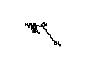 CCCCCCCCCCCc1nccn1CCc1nc(N)nc(N)n1